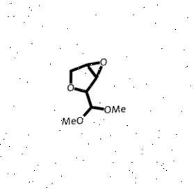 COC(OC)C1OCC2OC21